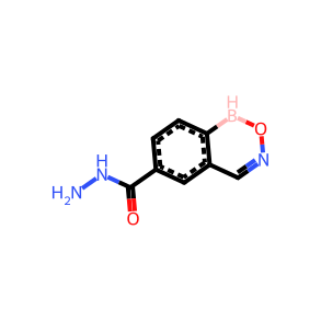 NNC(=O)c1ccc2c(c1)C=NOB2